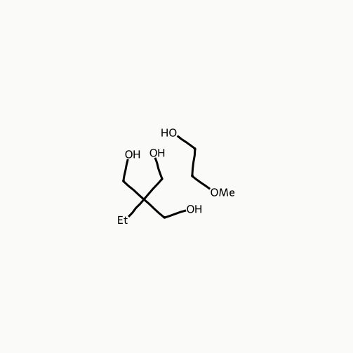 CCC(CO)(CO)CO.COCCO